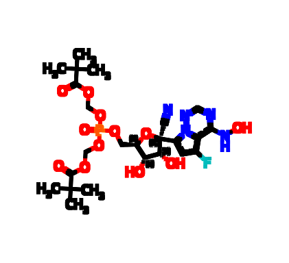 CC(C)(C)C(=O)OCOP(=O)(OCOC(=O)C(C)(C)C)OC[C@H]1O[C@@](C#N)(c2cc(F)c3c(NO)ncnn23)[C@H](O)[C@@H]1O